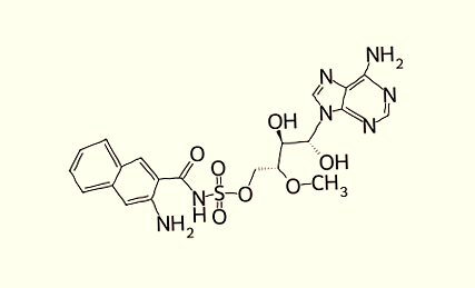 CO[C@H](COS(=O)(=O)NC(=O)c1cc2ccccc2cc1N)[C@@H](O)[C@@H](O)n1cnc2c(N)ncnc21